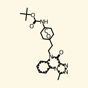 Cc1nnc2c(=O)n(CCC34CCC(NC(=O)OC(C)(C)C)(CC3)CO4)c3ccccc3n12